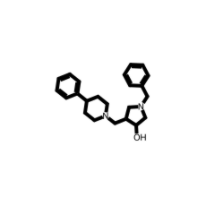 OC1CN(Cc2ccccc2)CC1CN1CCC(c2ccccc2)CC1